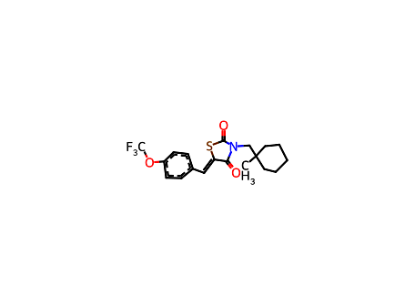 CC1(CN2C(=O)S/C(=C\c3ccc(OC(F)(F)F)cc3)C2=O)CCCCC1